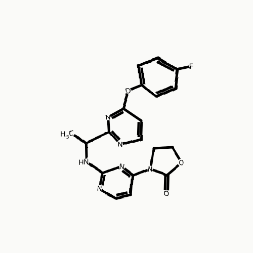 CC(Nc1nccc(N2CCOC2=O)n1)c1nccc(Oc2ccc(F)cc2)n1